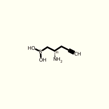 C#CC[C@H](N)CB(O)O